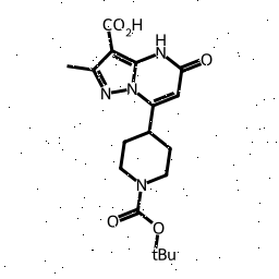 Cc1nn2c(C3CCN(C(=O)OC(C)(C)C)CC3)cc(=O)[nH]c2c1C(=O)O